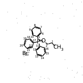 CCCO[P+](c1ccccc1)(c1ccccc1)c1ccccc1.[Br-]